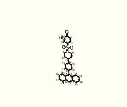 O=c1ccc(S(=O)(=O)N2CCC(c3ccc(-c4c5ccccc5cc5ccccc45)cc3)CC2)c[nH]1